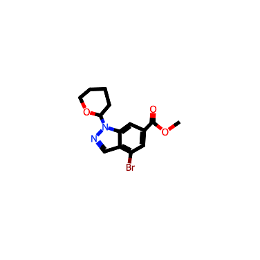 COC(=O)c1cc(Br)c2cnn(C3CCCCO3)c2c1